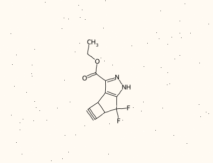 CCOC(=O)c1n[nH]c2c1C1C#CC1C2(F)F